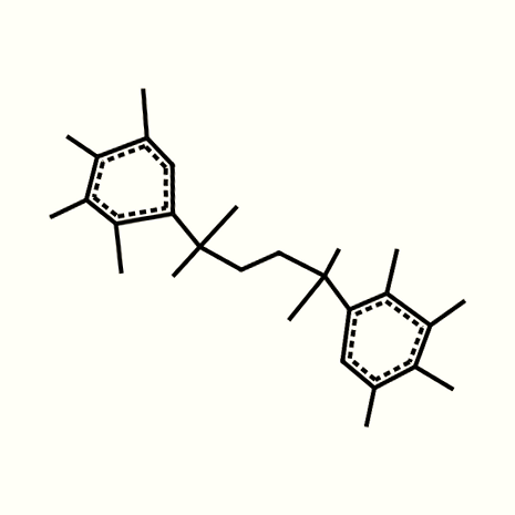 Cc1cc(C(C)(C)CCC(C)(C)c2cc(C)c(C)c(C)c2C)c(C)c(C)c1C